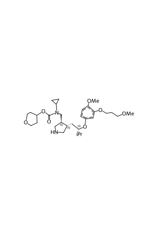 COCCCOc1cc(O[C@@H](C[C@@H]2CNC[C@H]2CN(C(=O)OC2CCOCC2)C2CC2)C(C)C)ccc1OC